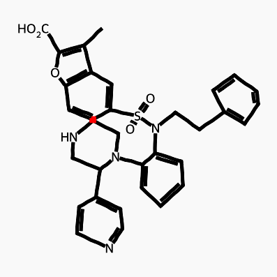 Cc1c(C(=O)O)oc2ccc(S(=O)(=O)N(CCc3ccccc3)c3ccccc3N3CCNCC3c3ccncc3)cc12